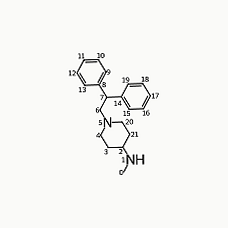 CNC1CCN(CC(c2ccccc2)c2ccccc2)CC1